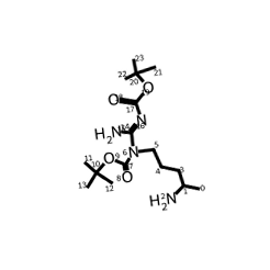 CC(N)CCCN(C(=O)OC(C)(C)C)C(N)=NC(=O)OC(C)(C)C